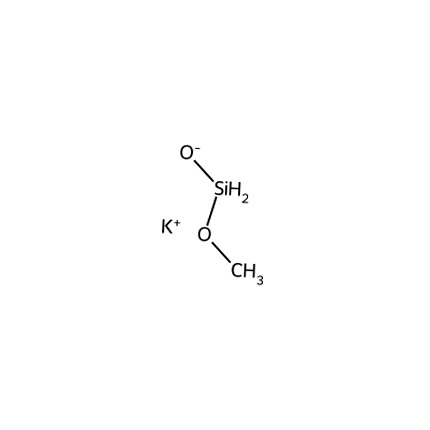 CO[SiH2][O-].[K+]